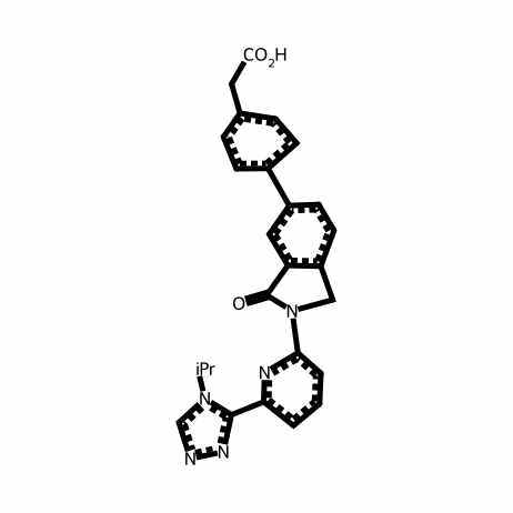 CC(C)n1cnnc1-c1cccc(N2Cc3ccc(-c4ccc(CC(=O)O)cc4)cc3C2=O)n1